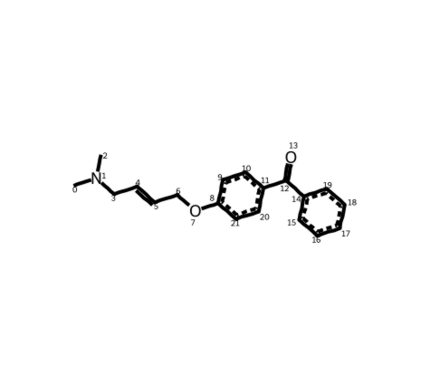 CN(C)C/C=C/COc1ccc(C(=O)c2ccccc2)cc1